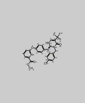 COC(=O)c1cccc(Oc2ccc(/N=c3\[nH]cc(C(F)(F)F)c(=O)n3Cc3ccc(Cl)cc3)cc2)n1